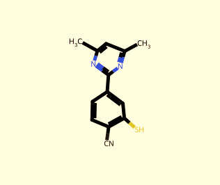 Cc1cc(C)nc(-c2ccc(C#N)c(S)c2)n1